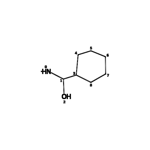 [NH]C(O)C1CCCCC1